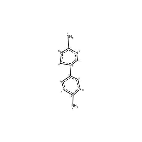 Nc1ncc(-c2cnc(N)nc2)cn1